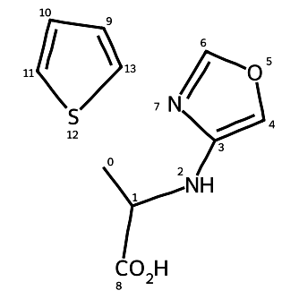 CC(Nc1cocn1)C(=O)O.c1ccsc1